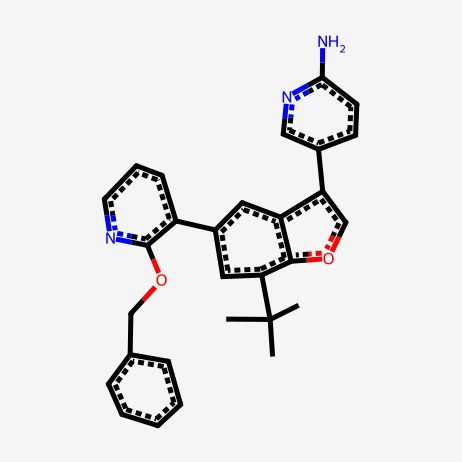 CC(C)(C)c1cc(-c2cccnc2OCc2ccccc2)cc2c(-c3ccc(N)nc3)coc12